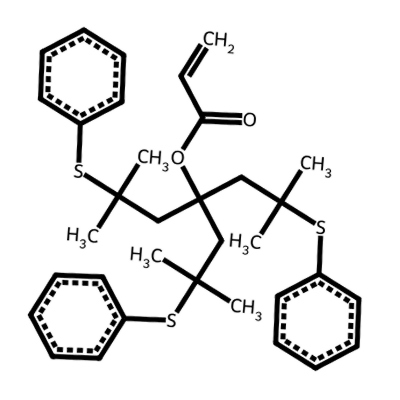 C=CC(=O)OC(CC(C)(C)Sc1ccccc1)(CC(C)(C)Sc1ccccc1)CC(C)(C)Sc1ccccc1